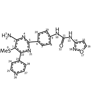 CSc1c(N)nc(-c2ccc(NC(=O)Nc3ccon3)cc2)nc1-c1ccncc1